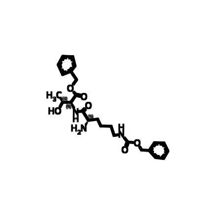 C[C@@H](O)[C@H](NC(=O)[C@@H](N)CCCCNC(=O)OCc1ccccc1)C(=O)OCc1ccccc1